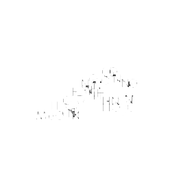 COCCn1ncc(-c2ccc(-c3cnc(C(=O)Nc4ccc(C(=O)N5CCN(C(=O)C6CC[N+](CC(=O)O)(CC7CNC7)CC6)CC5)c(Cl)c4)n3C)c(F)c2Cl)c1C